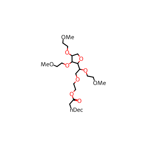 CCCCCCCCCCCC(=O)OCCOCC(OCCOC)C1OCC(OCCOC)C1OCCOC